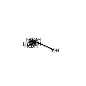 O=C(CCCCCCCCCCCCCCCCCO)O[C@@H]1[C@@H](O)[C@@H](O[C@H]2O[C@H](CO)[C@@H](O)[C@H](O)[C@H]2O)O[C@H](CO)[C@H]1O